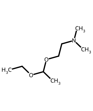 CCOC(C)OCCN(C)C